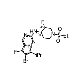 CCS(=O)(=O)N1CC[C@@H](Nc2ncc3c(F)c(Br)c(C(C)C)n3n2)[C@H](F)C1